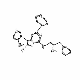 COc1ccncc1-c1c(C)sc2c(NC[C@@H](N)Cc3ccccc3)nc(-c3ccncc3)nc12